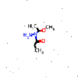 CCC(=O)N(N)C(C)OC